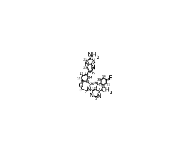 Cc1ncnc(N2CCOc3ccc(-c4cnc5nc(N)cn5c4)cc3C2)c1Cc1ccc(F)cc1